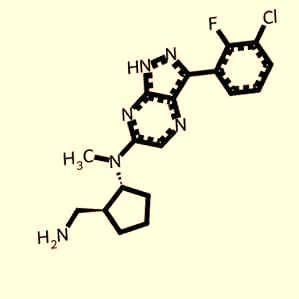 CN(c1cnc2c(-c3cccc(Cl)c3F)n[nH]c2n1)[C@@H]1CCC[C@H]1CN